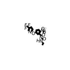 CCNC(=O)N=C(OC)c1cc(Oc2ccc(C(F)(F)F)cn2)ccc1[N+](=O)[O-]